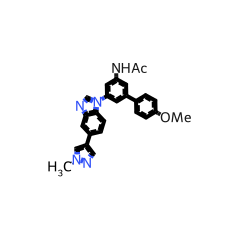 COc1ccc(-c2cc(NC(C)=O)cc(-n3cnc4cc(-c5cnn(C)c5)ccc43)c2)cc1